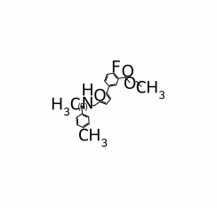 CCOC(=O)c1cc(-c2ccc(CN[C@H](C)c3ccc(C)cc3)o2)ccc1F